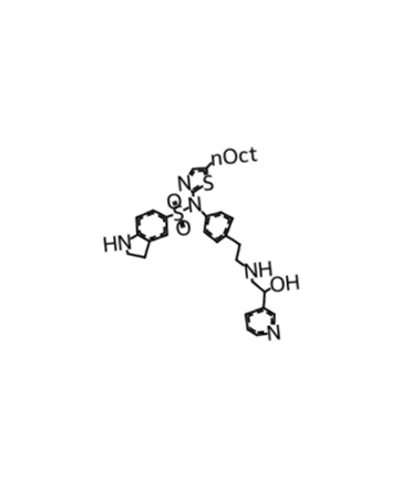 CCCCCCCCc1cnc(N(c2ccc(CCNCC(O)c3cccnc3)cc2)S(=O)(=O)c2ccc3c(c2)CCN3)s1